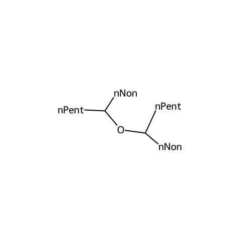 CCCCCCCCCC(CCCCC)OC(CCCCC)CCCCCCCCC